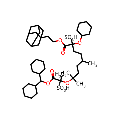 CC(CCC(C)(C)OC(C)(C(=O)OC(C1CCCCC1)C1CCCCC1)S(=O)(=O)O)CCC(OC1CCCCC1)(C(=O)OCCC12CC3CC(CC(C3)C1)C2)S(=O)(=O)O